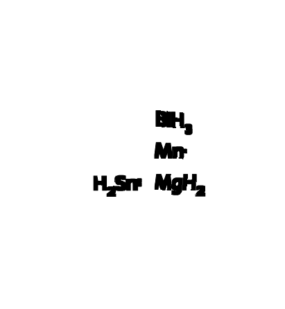 [BiH3].[MgH2].[Mn].[SnH2]